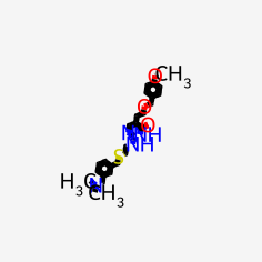 COc1ccc(COCCc2cnc(NCCSCc3cccc(CN(C)C)c3)[nH]c2=O)cc1